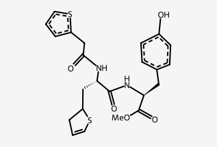 COC(=O)[C@H](Cc1ccc(O)cc1)NC(=O)[C@H](CC1CC=CS1)NC(=O)Cc1cccs1